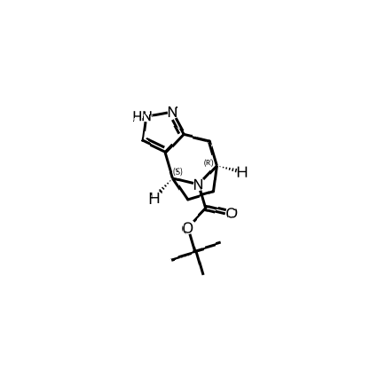 CC(C)(C)OC(=O)N1[C@@H]2CC[C@H]1c1c[nH]nc1C2